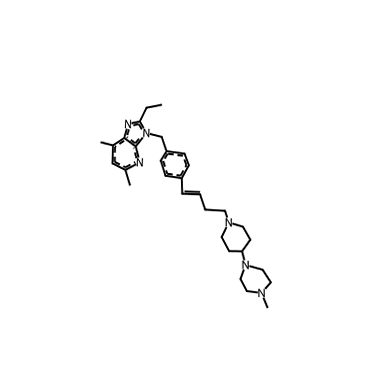 CCc1nc2c(C)cc(C)nc2n1Cc1ccc(/C=C/CCN2CCC(N3CCN(C)CC3)CC2)cc1